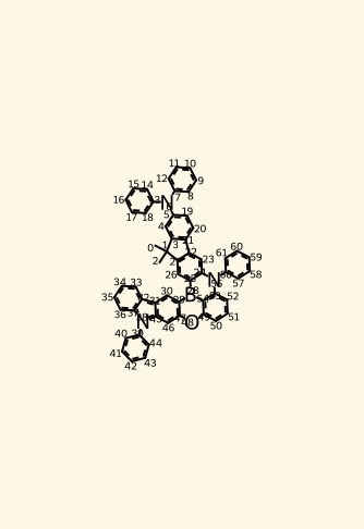 CC1(C)c2cc(N(c3ccccc3)c3ccccc3)ccc2-c2cc3c(cc21)B1c2cc4c5ccccc5n(-c5ccccc5)c4cc2Oc2cccc(c21)N3c1ccccc1